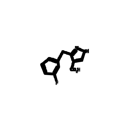 O=C(O)c1c[nH]nc1Cc1cccc(F)c1